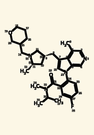 Cc1cncc2c1c(C[C@@H]1C[C@H](C)N(CC3CCCOC3)C1)cn2-c1ccc(F)cc1C(=O)N(C)C(C)C